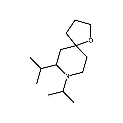 CC(C)C1CC2(CCCO2)CCN1C(C)C